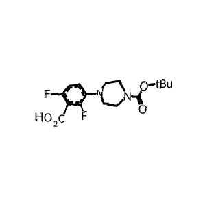 CC(C)(C)OC(=O)N1CCN(c2ccc(F)c(C(=O)O)c2F)CC1